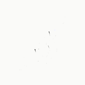 C[C@]12CCC(=O)C=C1CC[C@H]1[C@@H]3CC/C(=C\CO)[C@@]3(C)CC(=O)[C@@]12O